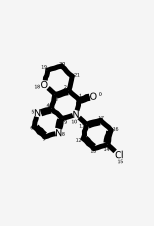 O=c1c2c(c3nccnc3n1-c1ccc(Cl)cc1)OCCC2